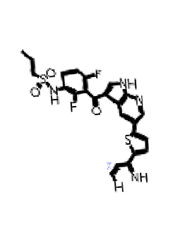 [H]/C=C\C(=N)c1ccc(-c2cnc3[nH]cc(C(=O)c4c(F)ccc(NS(=O)(=O)CCC)c4F)c3c2)s1